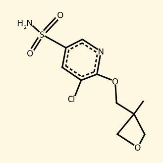 CC1(COc2ncc(S(N)(=O)=O)cc2Cl)COC1